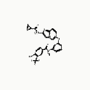 O=C(Nc1cccc(Oc2ccc3nc(NC(=O)C4CC4)cn3n2)c1)c1ccc(Cl)c(C(F)(F)F)c1